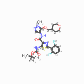 Cn1ncc(NC(=O)c2nc(-c3c(F)cccc3F)sc2NC(=O)OC(C)(C)C)c1OCC1CCOCC1